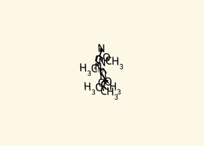 COc1nc(N(C)[C@@H]2CCN(C(=O)OC(C)(C)C)C2)ccc1C#N